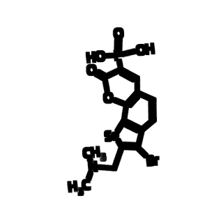 CN(C)Cc1[se]c2c(ccc3cc(P(=O)(O)O)c(=O)oc32)c1Br